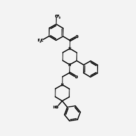 O=C(c1cc(C(F)(F)F)cc(C(F)(F)F)c1)N1CCN(C(=O)CN2CCC(O)(c3ccccc3)CC2)C(c2ccccc2)C1